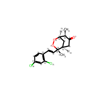 C[C@H]1C(=O)C[C@@H]2C[C@H]1OO[C@@]2(C)C=Cc1ccc(Cl)cc1Cl